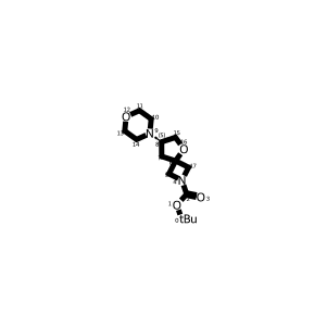 CC(C)(C)OC(=O)N1CC2(C[C@H](N3CCOCC3)CO2)C1